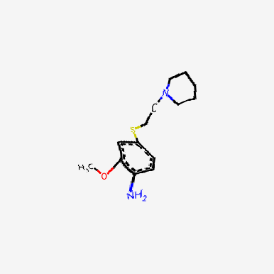 COc1cc(SCCN2CCCCC2)ccc1N